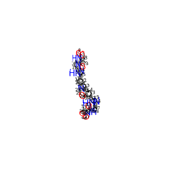 COC(=O)N[C@H](C(=O)N1CCCC1c1ncc(-c2ccc3c(c2)cc2n3CCOc3cc(-c4cnc([C@@H]5CCCN5C(=O)[C@@H](NC(=O)OC)C(C)C)[nH]4)ccc3-2)[nH]1)C(C)C